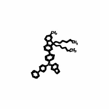 CCCCCCC1(CCCCCC)c2cc(C)ccc2-c2ccc(-c3ccc(N(c4ccc(-c5ccccc5)cc4)c4ccc5c(c4)CC5)cc3)cc21